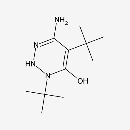 CC(C)(C)C1=C(O)N(C(C)(C)C)NN=C1N